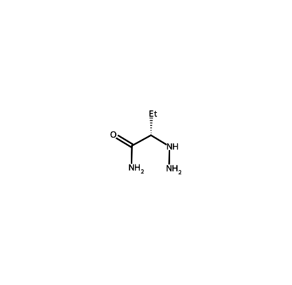 CC[C@H](NN)C(N)=O